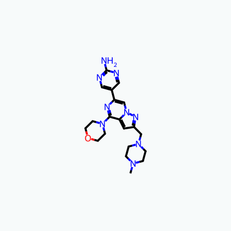 CN1CCN(Cc2cc3c(N4CCOCC4)nc(-c4cnc(N)nc4)cn3n2)CC1